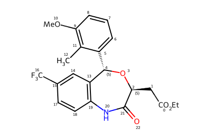 CCOC(=O)C[C@@H]1O[C@@H](c2cccc(OC)c2C)c2cc(C(F)(F)F)ccc2NC1=O